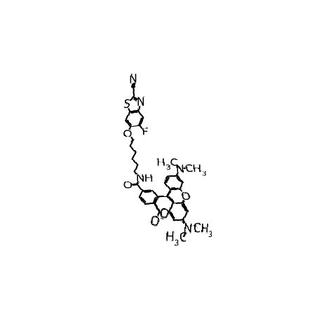 CN(C)c1ccc2c(-c3cc(C(=O)NCCCCCCOc4cc5sc(C#N)nc5cc4F)ccc3C(=O)[O-])c3ccc(=[N+](C)C)cc-3oc2c1